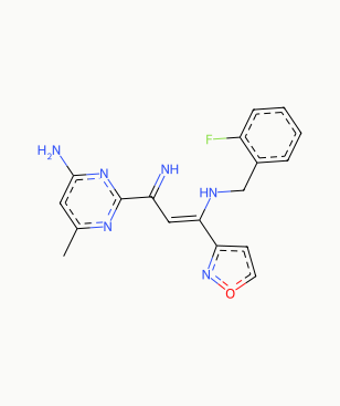 Cc1cc(N)nc(C(=N)/C=C(\NCc2ccccc2F)c2ccon2)n1